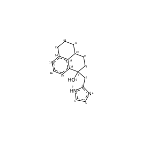 OC1(Cc2ncc[nH]2)CCC2CCCc3cccc1c32